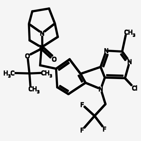 Cc1nc(Cl)c2c(n1)c1cc(CN3CC4CCC(C3)N4C(=O)OC(C)(C)C)ccc1n2CC(F)(F)F